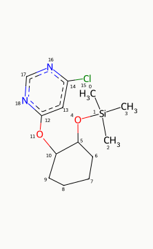 C[Si](C)(C)OC1CCCCC1Oc1cc(Cl)ncn1